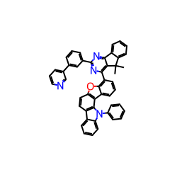 CC1(C)c2ccccc2-c2nc(-c3cccc(-c4cccnc4)c3)nc(-c3cccc4c3oc3ccc5c6ccccc6n(-c6ccccc6)c5c34)c21